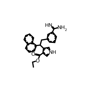 CCOC(=O)c1c[nH]cc1C(Cc1cccc(C(=N)N)c1)c1cccc2ccccc12